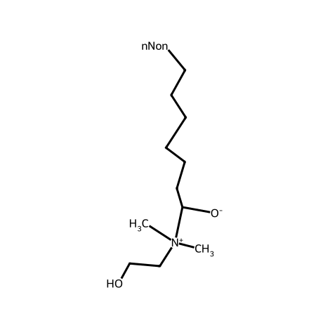 CCCCCCCCCCCCCCCC([O-])[N+](C)(C)CCO